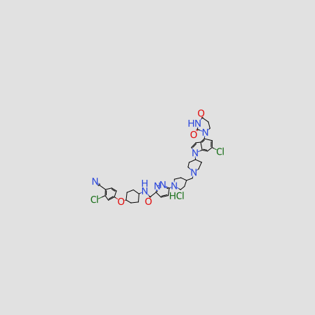 Cl.N#Cc1ccc(OC2CCC(NC(=O)c3ccc(N4CCC(CN5CCC(n6ccc7c(N8CCC(=O)NC8=O)cc(Cl)cc76)CC5)CC4)nn3)CC2)cc1Cl